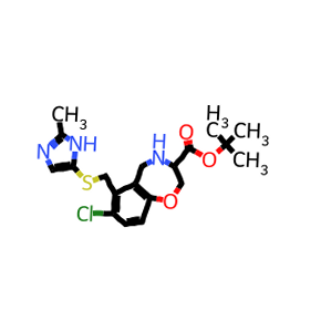 Cc1ncc(SCc2c(Cl)ccc3c2CNC(C(=O)OC(C)(C)C)CO3)[nH]1